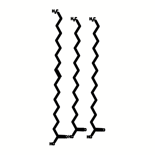 CCCCCCCCC=CCCCCCCCC(=O)O.CCCCCCCCCCCCCCCC(=O)O.CCCCCCCCCCCCCCCC(=O)O